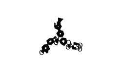 COc1ccc([C@H]2CC[C@H](CN(c3cccc(-c4cnn(C5CC5)c4)c3)C(=O)[C@H]3CC[C@H](OC(=O)N4CCS(=O)(=O)CC4)CC3)CC2)cc1C